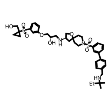 CCC(C)(C)NCc1ccc(-c2cccc(S(=O)(=O)N3CCC4(CC3)C[C@@H](NC[C@H](O)COc3cccc(S(=O)(=O)C5(CO)CC5)c3)CO4)c2)cc1